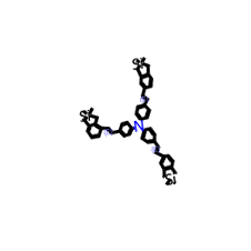 C[Si]1(C)Cc2ccc(/C=C/c3ccc(N(c4ccc(/C=C/c5ccc6c(c5)C[Si](C)(C)C6)cc4)c4ccc(/C=C/c5cccc6c5C[Si](C)(C)C6)cc4)cc3)cc2C1